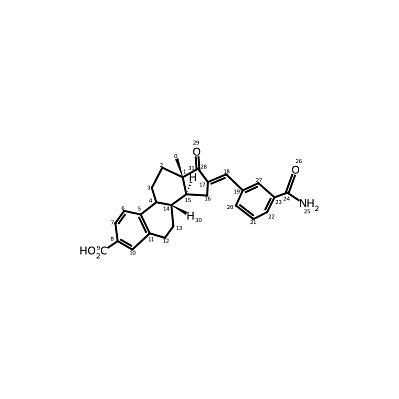 C[C@]12CCC3c4ccc(C(=O)O)cc4CC[C@H]3[C@@H]1C/C(=C\c1cccc(C(N)=O)c1)C2=O